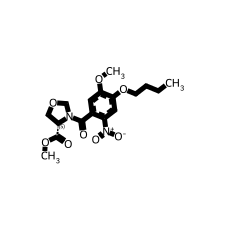 CCCCOc1cc([N+](=O)[O-])c(C(=O)N2COC[C@H]2C(=O)OC)cc1OC